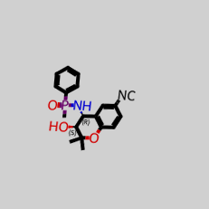 [C-]#[N+]c1ccc2c(c1)[C@@H](NP(C)(=O)c1ccccc1)[C@H](O)C(C)(C)O2